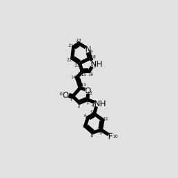 O=C1C=C(Nc2cccc(F)c2)OC1=Cc1c[nH]c2ncccc12